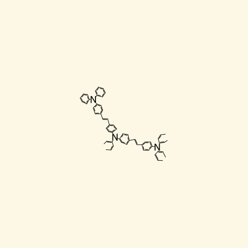 C/C=C\C(=C/C)N(C(/C=C\C)=C/C)c1ccc(/C=C/c2ccc(N(C(/C=C\C)=C/C)c3ccc(/C=C/c4ccc(N(c5ccccc5)c5ccccc5)cc4)cc3)cc2)cc1